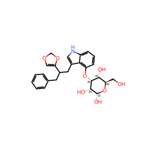 OC[C@H]1O[C@H](O)[C@H](O)[C@H](Oc2cccc3[nH]cc(CC(Cc4ccccc4)C4=COCO4)c23)[C@@H]1O